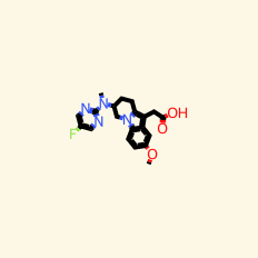 COc1ccc2c(c1)c(CC(=O)O)c1n2CC(N(C)c2ncc(F)cn2)CC1